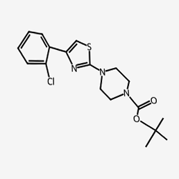 CC(C)(C)OC(=O)N1CCN(c2nc(-c3ccccc3Cl)cs2)CC1